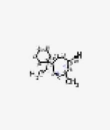 CCC1(C2/C=C\C(C)/C=C(/C#N)CC2)CCCCC1